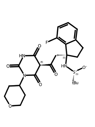 CC(C)(C)[S@@+]([O-])N[C@]1(CC(=O)[C@@H]2C(=O)NC(=O)N(C3CCOCC3)C2=O)CCc2cccc(F)c21